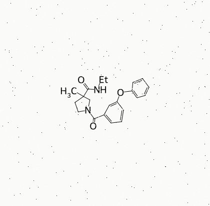 CCNC(=O)C1(C)CCN(C(=O)c2cccc(Oc3ccccc3)c2)C1